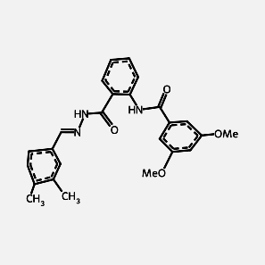 COc1cc(OC)cc(C(=O)Nc2ccccc2C(=O)NN=Cc2ccc(C)c(C)c2)c1